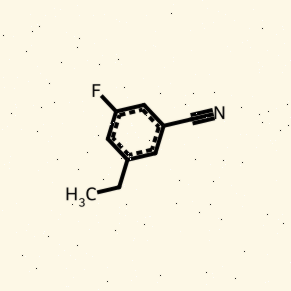 CCc1cc(F)cc(C#N)c1